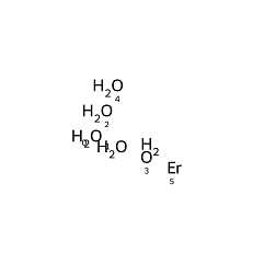 O.O.O.O.O.[Er]